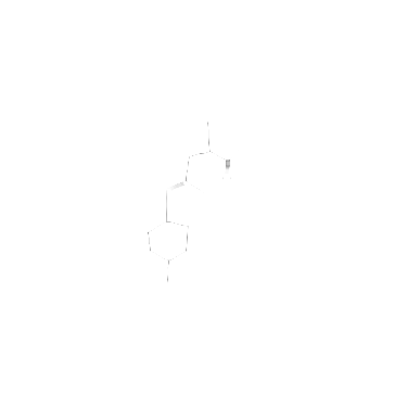 C/C(=C\C1CCC(C)CC1)CC(C)C(=O)O